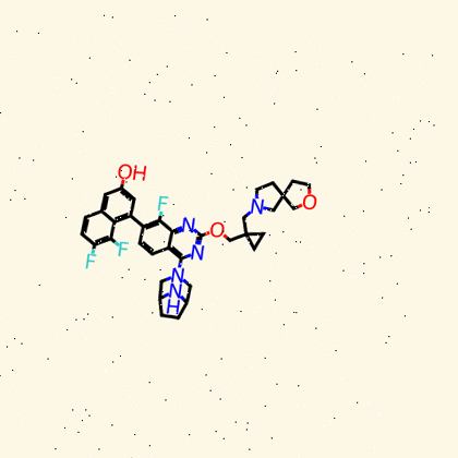 Oc1cc(-c2ccc3c(N4CC5CCC(C4)N5)nc(OCC4(CN5CCC6(CCOC6)C5)CC4)nc3c2F)c2c(F)c(F)ccc2c1